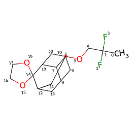 CC(F)(F)COCC1C2CC3CC(C2)C2(OCCO2)C1C3